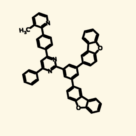 Cc1cccnc1-c1ccc(-c2cc(-c3ccccc3)nc(-c3cc(-c4ccc5oc6ccccc6c5c4)cc(-c4ccc5oc6ccccc6c5c4)c3)n2)cc1